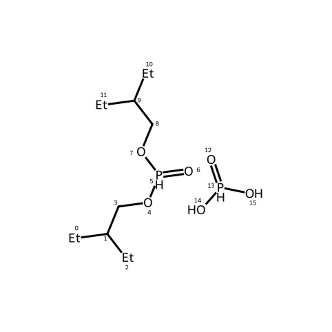 CCC(CC)CO[PH](=O)OCC(CC)CC.O=[PH](O)O